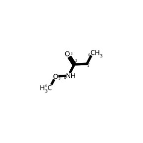 C[CH]C(=O)NOC